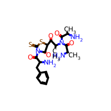 CC(N)C(=O)N(C(=O)C(C)N)C(C)C(=O)C1SC(=S)N(C(=O)C(N)Cc2ccccc2)C1=O